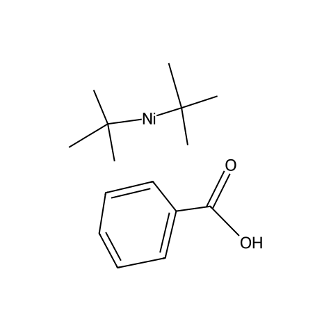 C[C](C)(C)[Ni][C](C)(C)C.O=C(O)c1ccccc1